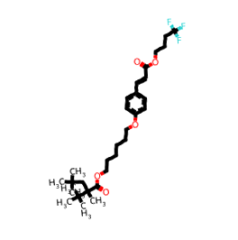 CC(C)(C)CC(C)(C(=O)OCCCCCCOc1ccc(/C=C/C(=O)OCCCC(F)(F)F)cc1)C(C)(C)C